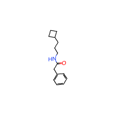 O=C(Cc1ccccc1)NCCCC1CCC1